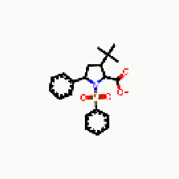 CC(C)(C)C1CC(c2ccccc2)N(S(=O)(=O)c2ccccc2)C1C(=O)O